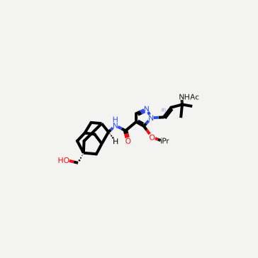 CC(=O)NC(C)(C)/C=C/n1ncc(C(=O)N[C@H]2C3CC4CC2C[C@](CO)(C4)C3)c1OC(C)C